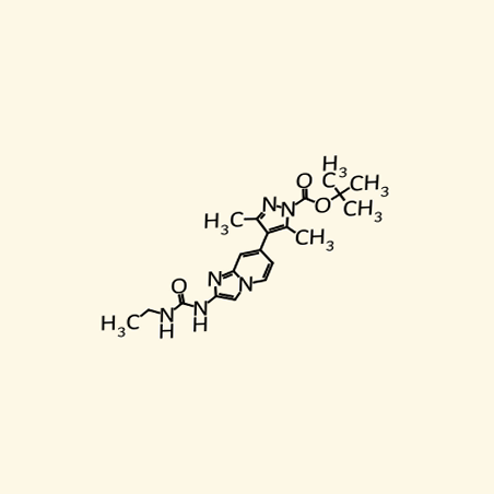 CCNC(=O)Nc1cn2ccc(-c3c(C)nn(C(=O)OC(C)(C)C)c3C)cc2n1